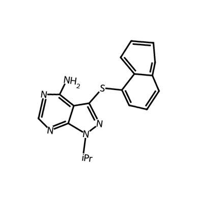 CC(C)n1nc(Sc2cccc3ccccc23)c2c(N)ncnc21